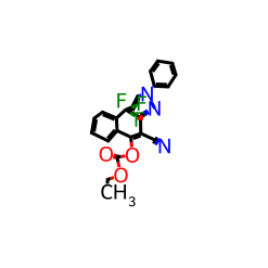 CCOC(=O)OC(=C(C#N)c1ccn(-c2ccccc2)n1)c1ccccc1C(F)(F)F